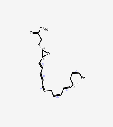 CC/C=C\C[C@H](C)/C=C/C=C\C\C=C/C=C/C=C/[C@@H]1O[C@H]1CCC(=O)OC